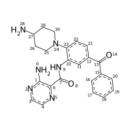 Nc1nccnc1C(=O)Nc1cc(C(=O)c2ccccc2)ccc1N1CCC(N)CC1